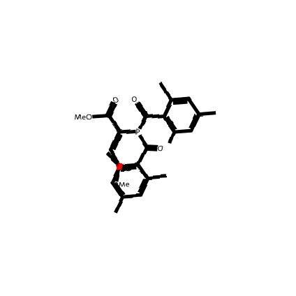 COC(=O)/C=C(/C(=O)OC)P(C(=O)c1c(C)cc(C)cc1C)C(=O)c1c(C)cc(C)cc1C